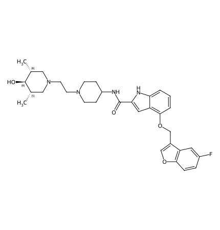 C[C@@H]1CN(CCN2CCC(NC(=O)c3cc4c(OCc5coc6ccc(F)cc56)cccc4[nH]3)CC2)C[C@H](C)[C@H]1O